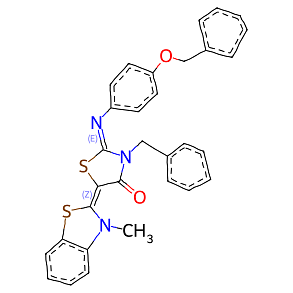 CN1/C(=C2/S/C(=N/c3ccc(OCc4ccccc4)cc3)N(Cc3ccccc3)C2=O)Sc2ccccc21